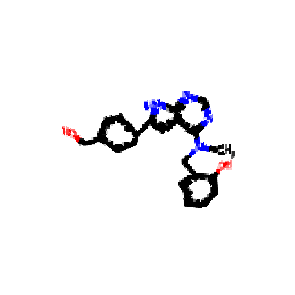 CN(Cc1ccccc1O)c1ncnc2[nH]c(-c3ccc(CO)cc3)cc12